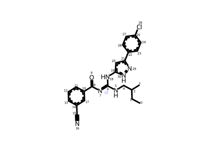 CCC(C)CN/C(=N/C(=O)c1cccc(C#N)c1)Nc1cc(-c2ccc(Cl)cc2)n[nH]1